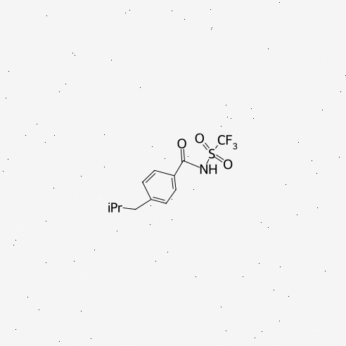 CC(C)Cc1ccc(C(=O)NS(=O)(=O)C(F)(F)F)cc1